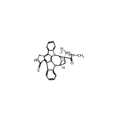 CNC(=O)[C@@]1(N)C[C@@H]2O[C@@]1(C)n1c3ccccc3c3c4c(c5c6ccccc6n2c5c31)C(=O)NC4